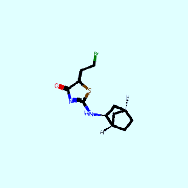 O=C1N=C(N[C@H]2C[C@H]3CC[C@H]2C3)SC1CCBr